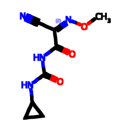 CO/N=C(/C#N)C(=O)NC(=O)NC1CC1